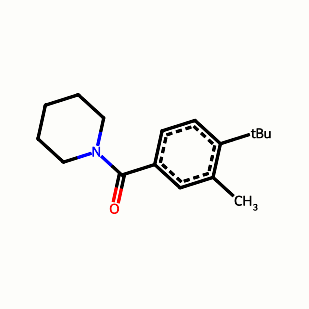 Cc1cc(C(=O)N2CCCCC2)ccc1C(C)(C)C